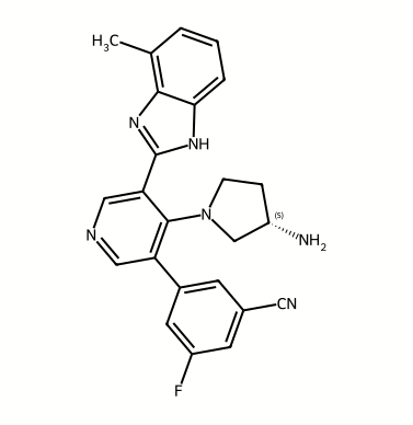 Cc1cccc2[nH]c(-c3cncc(-c4cc(F)cc(C#N)c4)c3N3CC[C@H](N)C3)nc12